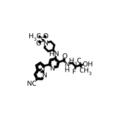 CC(C)(O)C(F)CNC(=O)c1cnc(-c2ccc3cc(C#N)cnn23)cc1NC1CCN(S(C)(=O)=O)CC1